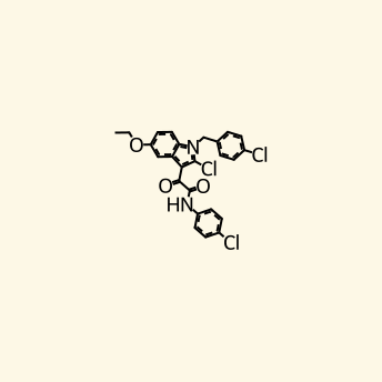 CCOc1ccc2c(c1)c(C(=O)C(=O)Nc1ccc(Cl)cc1)c(Cl)n2Cc1ccc(Cl)cc1